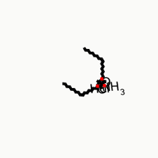 CCCCCCCC/C=C\CCCCCCCC(=O)C(C)(C(=O)CCCCCCC/C=C\CCCCCCCC)C(C)(C)C.Cl.N